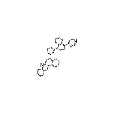 c1cc(-c2ccc(-c3ccncc3)c3ccccc23)cc(-c2cc3nc4ccccc4cc3c3ccccc23)c1